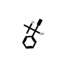 C#CC(O)(c1ccccc1)C(C)(C)CC